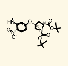 CNc1cc(O[C@@H]2C[C@@H](C(=O)OC(C)(C)C)N(C(=O)OC(C)(C)C)C2)ccc1[N+](=O)[O-]